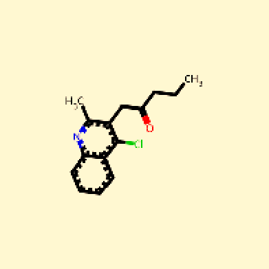 CCCC(=O)Cc1c(C)nc2ccccc2c1Cl